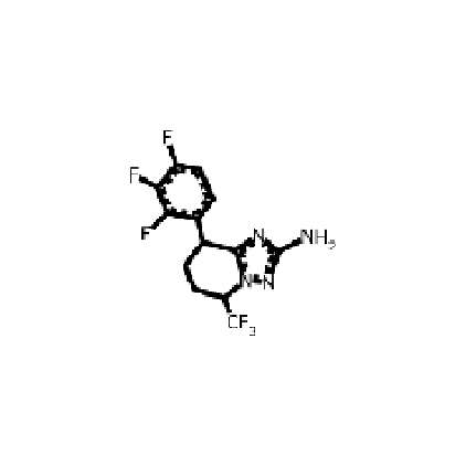 Nc1nc2n(n1)C(C(F)(F)F)CCC2c1ccc(F)c(F)c1F